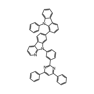 c1ccc(-c2cc(-c3ccccc3)nc(-c3cccc(-n4c5cc(-c6cccc7c8ccccc8n(-c8ccccc8)c67)ccc5c5cccnc54)c3)n2)cc1